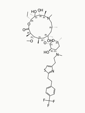 CC[C@H]1OC(=O)[C@H](C)[C@@H](OC)[C@H](C)[C@@H](O[C@@H]2O[C@H](C)C[C@H](N(C)CCc3csc(CCc4ccc(C(F)(F)F)cc4)n3)[C@H]2O)[C@](C)(O)C[C@@H](C)CN(C)[C@H](C)[C@@H](O)[C@]1(C)O